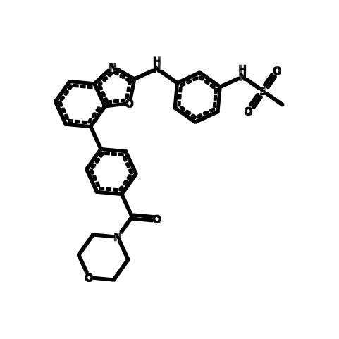 CS(=O)(=O)Nc1cccc(Nc2nc3cccc(-c4ccc(C(=O)N5CCOCC5)cc4)c3o2)c1